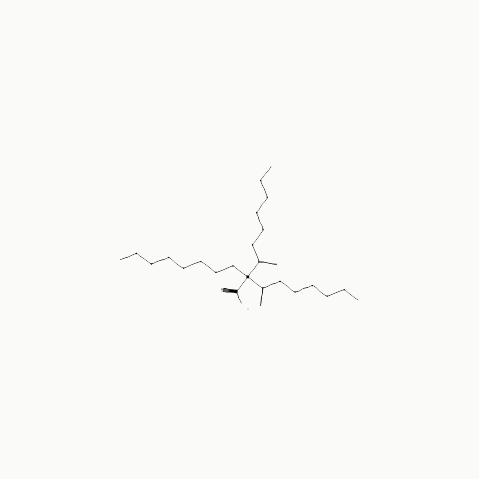 CCCCCCCCC(C(=O)O)(C(C)CCCCCC)C(C)CCCCCC